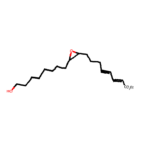 CCOC(=O)C=CC=CCCCC1OC1CCCCCCCCO